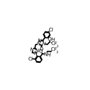 O=C(NCCC(F)(F)F)c1cccc(Cl)c1-n1cnc(Cn2nc(-c3ccc(Cl)cc3)n(C[C@H](O)C(F)(F)F)c2=O)n1